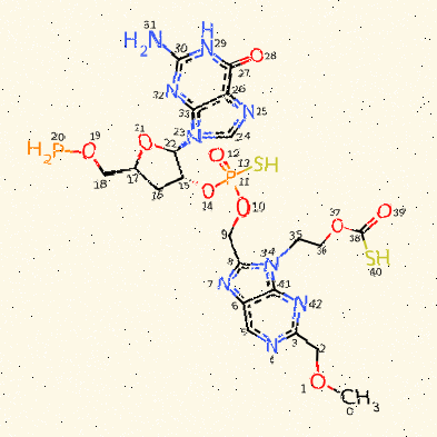 COCc1ncc2nc(COP(=O)(S)O[C@@H]3C[C@@H](COP)O[C@H]3n3cnc4c(=O)[nH]c(N)nc43)n(CCOC(=O)S)c2n1